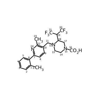 Cc1ccccc1-c1ccc(CN2CCN(C(=O)O)CC2C(C(F)(F)F)C(F)(F)F)c(C)n1